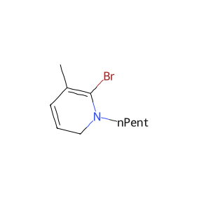 CCCCCN1CC=CC(C)=C1Br